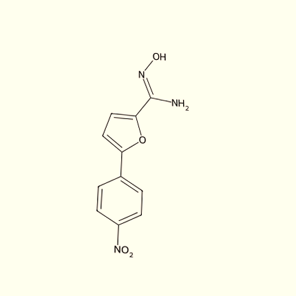 NC(=NO)c1ccc(-c2ccc([N+](=O)[O-])cc2)o1